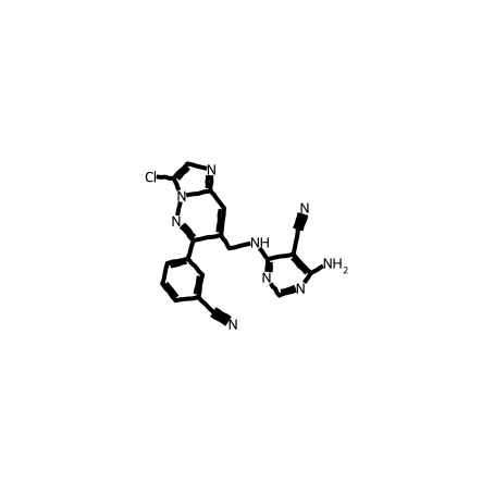 N#Cc1cccc(-c2nn3c(Cl)cnc3cc2CNc2ncnc(N)c2C#N)c1